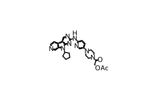 CC(=O)OCC(=O)N1CCN(c2ccc(Nc3ncc4c5ccncc5n(C5CCCC5)c4n3)nc2)CC1